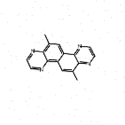 Cc1cc2c(cc(C)c3nccnc32)c2nccnc12